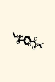 CCNC(=O)c1ccc(C(=O)[NH+]([O-])CC)nc1